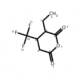 CCC1C(=O)OC(=O)CC1C(F)(F)F